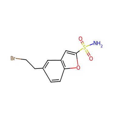 NS(=O)(=O)c1cc2cc(CCBr)ccc2o1